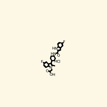 Cc1c(C2CCC(NC(=O)c3cc4cc(F)ccc4[nH]3)CC2)c2cc(F)ccc2n1CC(=O)O.Cl